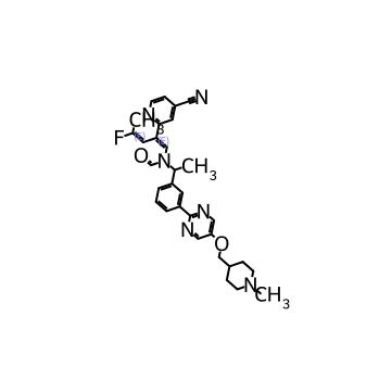 C/C(F)=C\C(=C/N(C=O)C(C)c1cccc(-c2ncc(OCC3CCN(C)CC3)cn2)c1)c1cc(C#N)ccn1